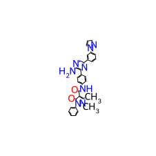 Cc1c(C(=O)Nc2ccc(-c3nc(-c4cccc(-n5cccn5)c4)cnc3N)cc2)c(=O)n(-c2ccccc2)n1C